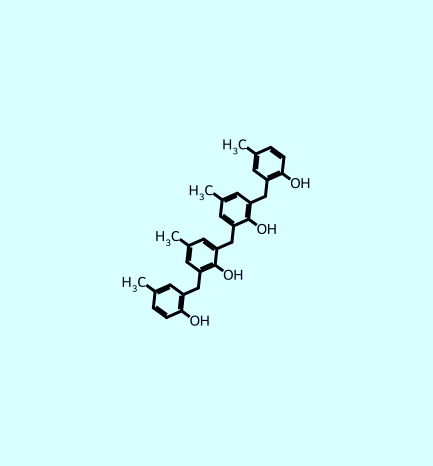 Cc1ccc(O)c(Cc2cc(C)cc(Cc3cc(C)cc(Cc4cc(C)ccc4O)c3O)c2O)c1